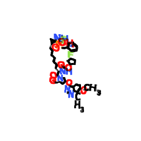 COc1ccc2c(OC3C[C@@H](C=O)N(C(=O)[C@H](CCCCCCC[C@@H]4C[C@]4(N)P(=O)(O)Cc4c(F)cccc4F)NC(=O)OC4CCCC4)C3)ncnc2c1C